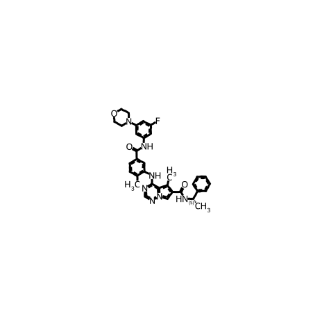 Cc1ccc(C(=O)Nc2cc(F)cc(N3CCOCC3)c2)cc1Nc1ncnn2cc(C(=O)N[C@@H](C)c3ccccc3)c(C)c12